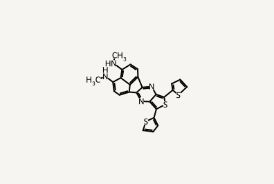 CNc1ccc2c3c(ccc(NC)c13)-c1nc3c(-c4cccs4)sc(-c4cccs4)c3nc1-2